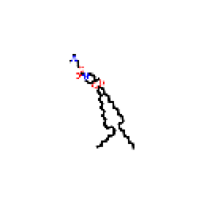 CCCCC/C=C\C/C=C\CCCCCCCCC1(CCCCCCCC/C=C\CCCCCCCC)OCC2(CCN(C(=O)OCCN(C)C)CC2)O1